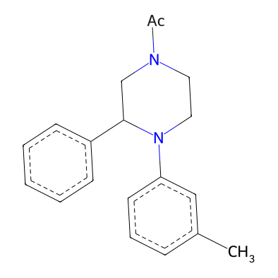 CC(=O)N1CCN(c2cccc(C)c2)C(c2ccccc2)C1